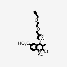 C#CCOCCOCc1cn([C@@H]2c3cc(C(=O)O)ccc3N(C(C)=O)C(CC)C2C)nn1